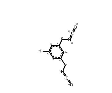 O=C=NCc1cc(F)cc(CN=C=O)c1